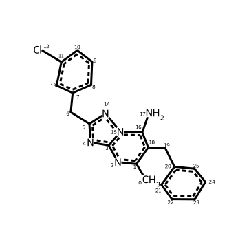 Cc1nc2nc(Cc3cccc(Cl)c3)nn2c(N)c1Cc1ccccc1